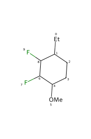 CCC1CCC(OC)C(F)C1F